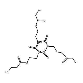 O=C(CS)OCCn1c(=O)n(CCOC(=O)CS)c(=O)n(CCOC(=O)CCS)c1=O